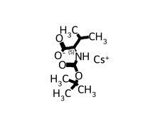 CC(C)[C@H](NC(=O)OC(C)(C)C)C(=O)[O-].[Cs+]